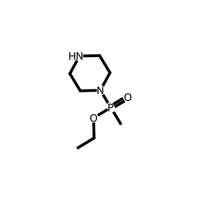 CCOP(C)(=O)N1CCNCC1